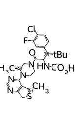 C[C@@H]1SCc2ncnc(N3CCN(C(=O)C(NC(=O)O)[C@@H](c4ccc(Cl)c(F)c4)C(C)(C)C)C[C@@H]3C)c21